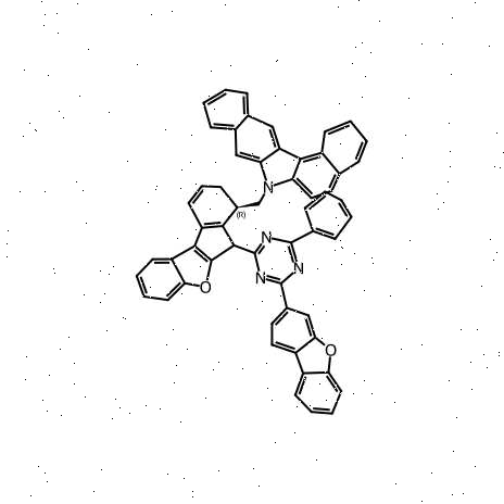 C1=CC2=C(C(c3nc(-c4ccccc4)nc(-c4ccc5c(c4)oc4ccccc45)n3)c3oc4ccccc4c32)[C@H](Cn2c3cc4ccccc4cc3c3c4ccccc4ccc32)C1